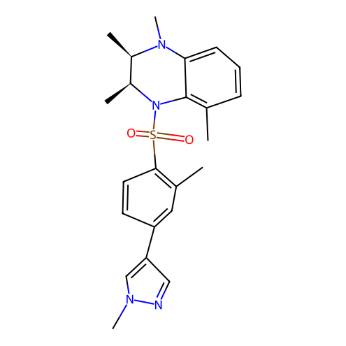 Cc1cc(-c2cnn(C)c2)ccc1S(=O)(=O)N1c2c(C)cccc2N(C)[C@H](C)[C@@H]1C